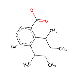 CCC(C)c1cccc(C(=O)[O-])c1C(C)CC.[Na+]